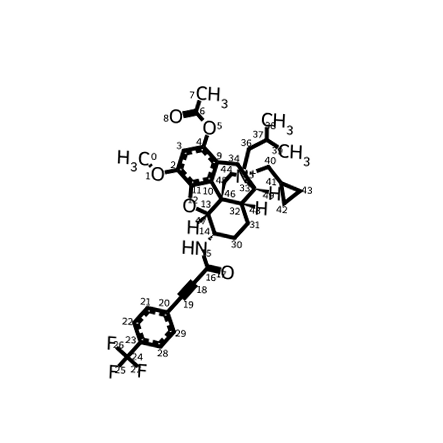 COc1cc(OC(C)=O)c2c3c1O[C@H]1[C@@H](NC(=O)C#Cc4ccc(C(F)(F)F)cc4)CC[C@H]4[C@@H](C2)[N+](CC(C)C)(CC2CC2)CC[C@@]341